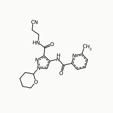 Cc1cccc(C(=O)Nc2cn(C3CCCCO3)nc2C(=O)NCCC#N)n1